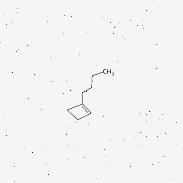 [CH2]CCCC1=CCC1